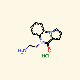 Cl.NCCn1c(=O)c2cccn2c2ccccc21